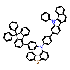 c1ccc(-n2c3cc(-c4ccc(N(c5ccc(-c6cccc7c6-c6ccccc6C7(c6ccccc6)c6ccccc6)cc5)c5cccc6sc7ccccc7c56)cc4)ccc3c3ccc4ccccc4c32)cc1